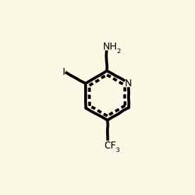 Nc1ncc(C(F)(F)F)cc1I